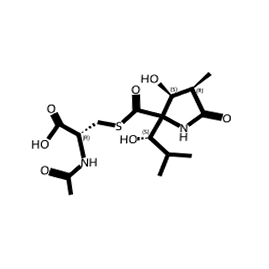 CC(=O)N[C@@H](CSC(=O)C1([C@@H](O)C(C)C)NC(=O)[C@H](C)[C@@H]1O)C(=O)O